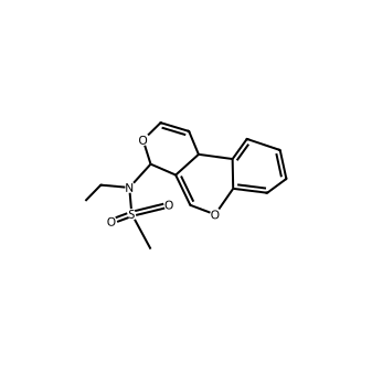 CCN(C1OC=CC2C1=COc1ccccc12)S(C)(=O)=O